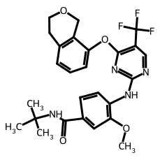 COc1cc(C(=O)NC(C)(C)C)ccc1Nc1ncc(C(F)(F)F)c(Oc2cccc3c2COCC3)n1